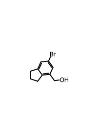 OCc1cc(Br)cc2c1CCC2